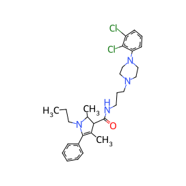 CCCN1C(c2ccccc2)=C(C)C(C(=O)NCCCN2CCN(c3cccc(Cl)c3Cl)CC2)C1C